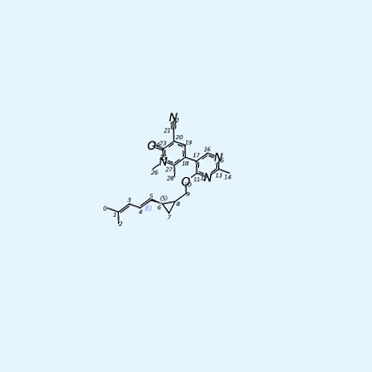 CC(C)=C/C=C/[C@@H]1CC1COc1nc(C)ncc1-c1cc(C#N)c(=O)n(C)c1C